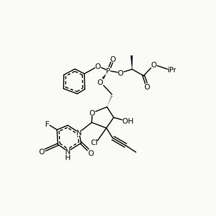 CC#CC1(Cl)C(O)[C@@H](CO[P@](=O)(Oc2ccccc2)O[C@@H](C)C(=O)OC(C)C)OC1n1cc(F)c(=O)[nH]c1=O